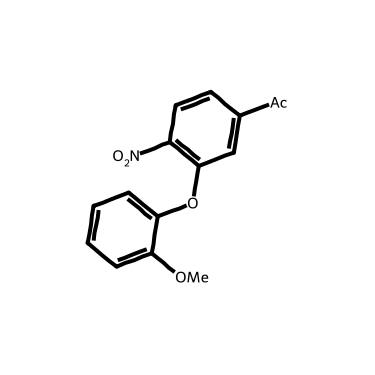 COc1ccccc1Oc1cc(C(C)=O)ccc1[N+](=O)[O-]